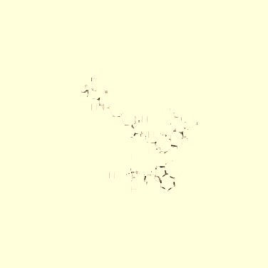 CC(C)C[C@H](NC(=O)[C@H](Cc1cn(C(=O)OC(C)(C)C)c2ccccc12)NC(=O)CNC(=O)[C@@H](N)CCCCNC(=O)OC(C)(C)C)C(=O)O